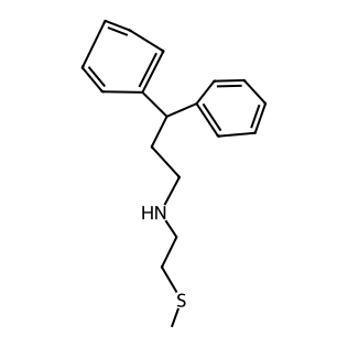 CSCCNCCC(c1ccccc1)c1ccccc1